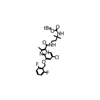 Cc1nc2c(OCc3c(F)cccc3F)cc(Cl)cn2c1C(=O)NCCC(C)(C)NC(=O)OC(C)(C)C